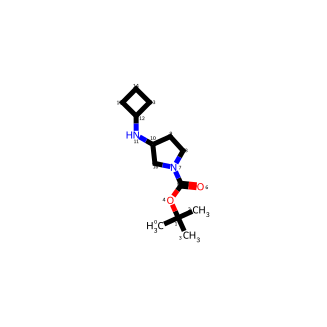 CC(C)(C)OC(=O)N1CCC(NC2CCC2)C1